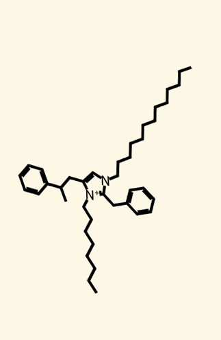 CCCCCCCCCCCCCn1cc(CC(C)c2ccccc2)[n+](CCCCCCCC)c1Cc1ccccc1